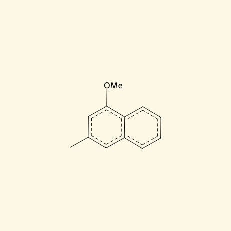 COc1cc(C)cc2ccccc12